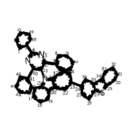 c1ccc(-c2nc(-c3ccccc3)c(-n3c4ccccc4c4cc(-c5ccc6sc7ccccc7c6c5)ccc43)c(-c3ccccc3)n2)cc1